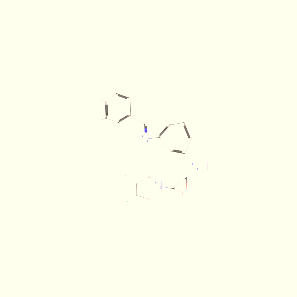 Fc1ccc(-c2nc3cc(NC4OC4N4C[C@@H](F)[C@@H](F)C4)ccc3s2)cc1F